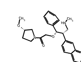 CNC[C@H](c1ccc2ccccc2c1)[C@H](OCC(=O)N1CC[C@H](OC)C1)c1ccccc1